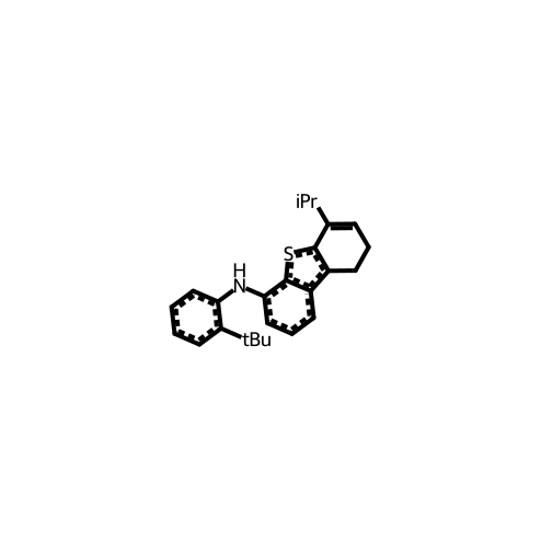 CC(C)C1=CCCc2c1sc1c(Nc3ccccc3C(C)(C)C)cccc21